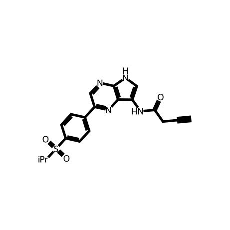 C#CCC(=O)Nc1c[nH]c2ncc(-c3ccc(S(=O)(=O)C(C)C)cc3)nc12